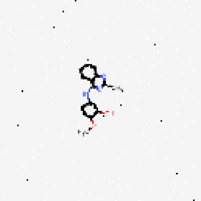 COc1ccc(Nc2nc(C)nc3ccccc23)cc1O